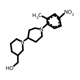 Cc1cc([N+](=O)[O-])ccc1N1CCC(N2CCCC(CO)C2)CC1